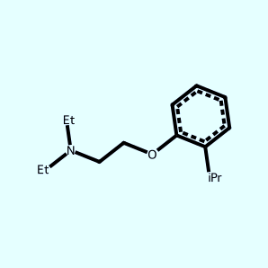 CCN(CC)CCOc1ccccc1C(C)C